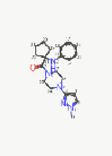 Cn1ccc(N2CCN(C(=O)C3(Nc4ccccc4)CCCC3)CC2)n1